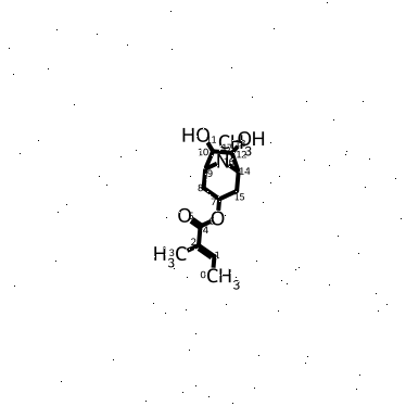 CC=C(C)C(=O)OC1CC2C(O)C(O)C(C1)N2C